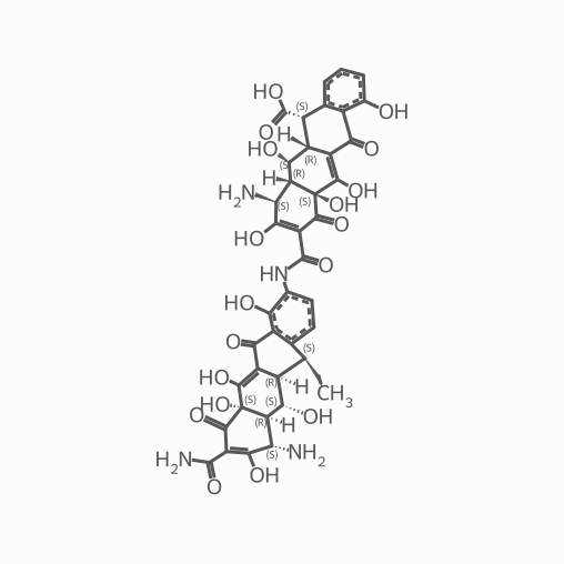 CC[C@@H]1c2ccc(NC(=O)C3=C(O)[C@@H](N)[C@@H]4[C@@H](O)[C@H]5C(=C(O)[C@]4(O)C3=O)C(=O)c3c(O)cccc3[C@H]5C(=O)O)c(O)c2C(=O)C2=C(O)[C@]3(O)C(=O)C(C(N)=O)=C(O)[C@@H](N)[C@@H]3[C@@H](O)[C@@H]21